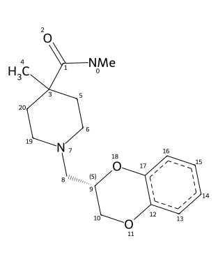 CNC(=O)C1(C)CCN(C[C@H]2COc3ccccc3O2)CC1